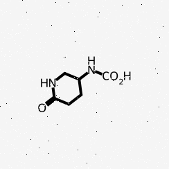 O=C(O)NC1CCC(=O)NC1